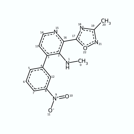 CNc1c(-c2cccc([N+](=O)[O-])c2)ccnc1-c1nc(C)no1